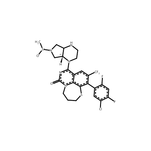 C[S+]([O-])N1CC2NCCN(c3nc(=O)n4c5c(c(-c6cc(Cl)c(F)cc6F)c(C(F)(F)F)cc35)SCCC4)[C@@H]2C1